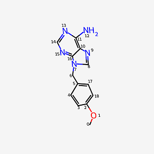 COc1ccc(Cn2cnc3c(N)ncnc32)cc1